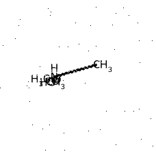 CCCCCCCCCC=CC=CC=CC=CC=CC=CC(=O)N[C@@H](CC(C)C)C(=O)O